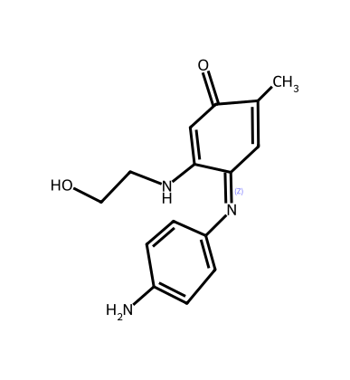 CC1=C/C(=N/c2ccc(N)cc2)C(NCCO)=CC1=O